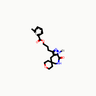 CCn1nc(CCCOC(=O)c2cccc(C)c2)c2c1C(=O)NCC1(CCOCC1)C2